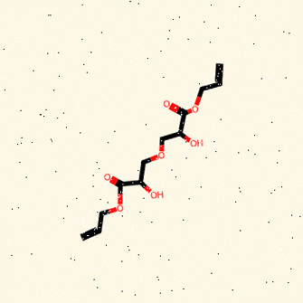 C=CCOC(=O)C(O)COCC(O)C(=O)OCC=C